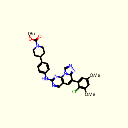 COc1cc(OC)c(Cl)c(-c2cc3cnc(Nc4ccc(C5CCN(C(=O)OC(C)(C)C)CC5)cc4)nc3n3cnnc23)c1